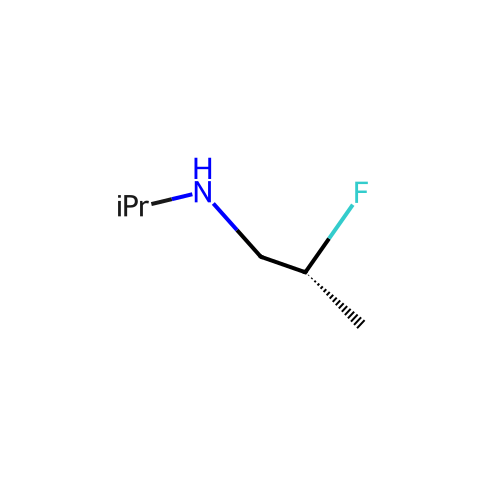 CC(C)NC[C@@H](C)F